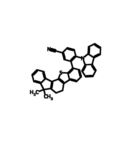 CC1(C)C2=C(c3ccccc31)c1sc3c(-c4cc(C#N)ccc4-n4c5ccccc5c5ccccc54)cccc3c1CC2